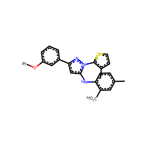 Cc1ccc(Nc2cc(-c3cccc(OC(C)C)c3)nn2-c2sccc2C)c(C(=O)O)c1